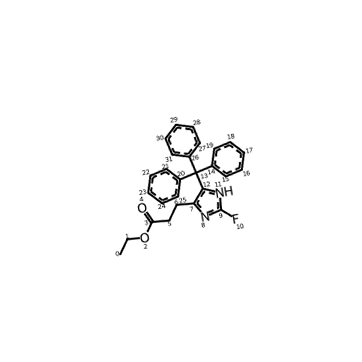 CCOC(=O)CCc1nc(F)[nH]c1C(c1ccccc1)(c1ccccc1)c1ccccc1